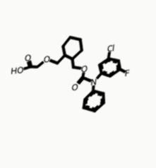 O=C(O)COCC1CCCCC1COC(=O)N(c1ccccc1)c1cc(F)cc(Cl)c1